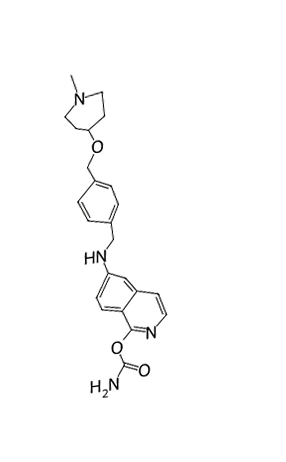 CN1CCC(OCc2ccc(CNc3ccc4c(OC(N)=O)nccc4c3)cc2)CC1